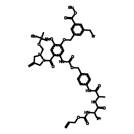 C=CCOC(=O)NC(C(=O)NC(C)C(=O)Nc1ccc(COC(=O)Nc2cc(OCc3cc(CBr)cc(C(=O)OC(C)(C)C)c3)c(OC)cc2C(=O)N2CC(=C)C[C@H]2CO[Si](C)(C)C(C)(C)C)cc1)C(C)C